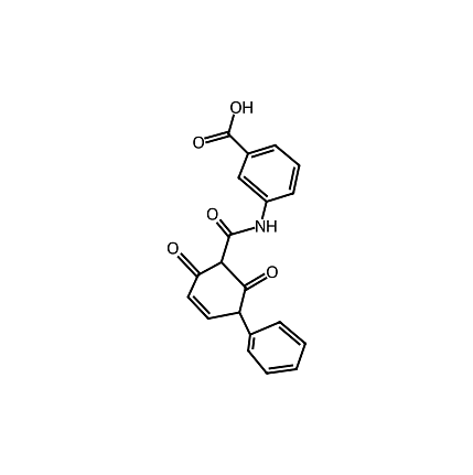 O=C(O)c1cccc(NC(=O)C2C(=O)C=CC(c3ccccc3)C2=O)c1